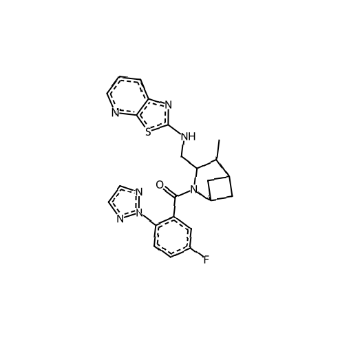 CC1C2CC(C2)N(C(=O)c2cc(F)ccc2-n2nccn2)C1CNc1nc2cccnc2s1